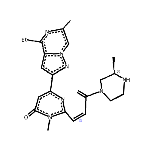 C=C(/C=C\c1nc(-c2cc3c(CC)nc(C)cn3n2)cc(=O)n1C)N1CCN[C@H](C)C1